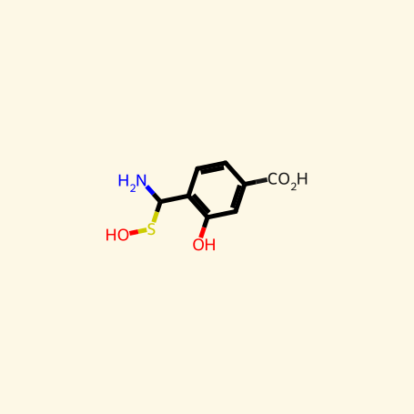 NC(SO)c1ccc(C(=O)O)cc1O